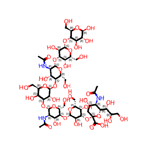 CC(=O)N[C@H]1[C@H](O[C@H]2[C@@H](O)[C@@H](CO)O[C@@H](O[C@H]3[C@H](O)[C@@H](O)[C@H](O)O[C@@H]3CO)[C@@H]2O)O[C@H](CO)[C@@H](O[C@@H]2O[C@H](CO)[C@H](O)[C@H](O[C@@H]3O[C@H](CO)[C@@H](O[C@@H]4O[C@H](CO)[C@H](O)[C@H](O[C@]5(C(=O)O)C[C@H](O)[C@@H](NC(C)=O)[C@H]([C@H](O)[C@H](O)CO)O5)[C@H]4O)[C@H](O)[C@H]3NC(C)=O)[C@H]2O)[C@@H]1O